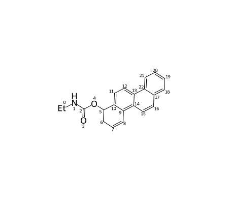 CCNC(=O)OC1CC=Cc2c1ccc1c2ccc2ccccc21